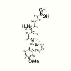 COc1cccc(-c2ccccc2CN2CCC(C(N)CCCCB(O)O)CC2)c1